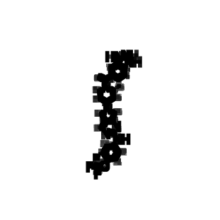 C=C(c1ccc2c(c1)NNN2)N1CC[C@H](N2Cc3cnc(Nc4ccc(OC(F)(F)F)cc4)nc3C2)C[C@H]1C